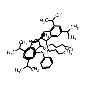 CCC[CH2][Hf]([CH2]CCC)([CH]1C(C)=Cc2c(C(C)C)cc(C(C)C)cc21)([CH]1C(C)=Cc2c(C(C)C)cc(C(C)C)cc21)[SiH](c1ccccc1)c1ccccc1